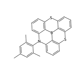 Cc1cc(C)c(N2c3cccc4c3B3c5c(cccc5Sc5cccc2c53)S4)c(C)c1